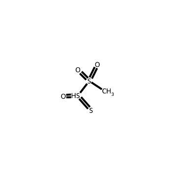 CS(=O)(=O)[SH](=O)=S